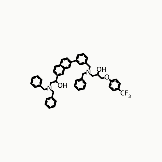 OC(COc1ccc(C(F)(F)F)cc1)CN(Cc1ccccc1)Cc1cccc(-c2ccc3ccc(C(O)CN(Cc4ccccc4)Cc4ccccc4)cc3c2)c1